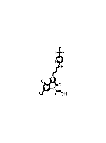 C[C@H](CO)NC(=O)c1cn(CCCNc2ccc(C(F)(F)F)cn2)cc1-c1ccc(Cl)cc1Cl